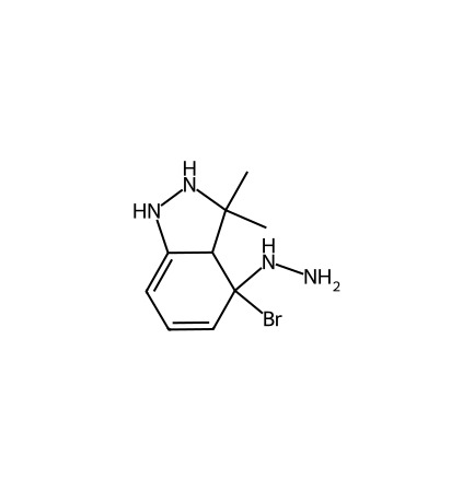 CC1(C)NNC2=CC=CC(Br)(NN)C21